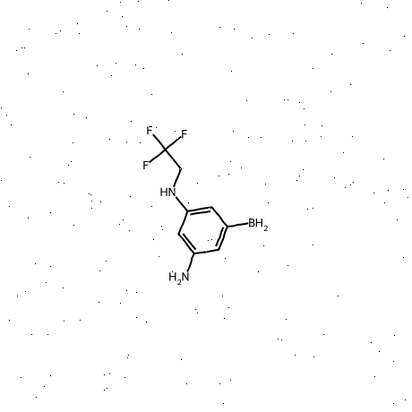 Bc1cc(N)cc(NCC(F)(F)F)c1